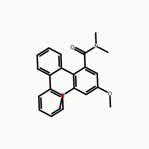 COc1cc(OC)c(-c2ccccc2-c2ccccc2)c(C(=O)N(C)C)c1